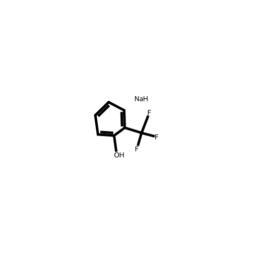 Oc1ccccc1C(F)(F)F.[NaH]